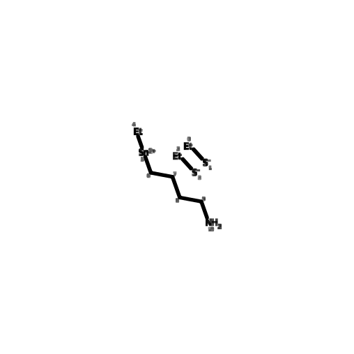 CC[S-].CC[S-].C[CH2][Sn+2][CH2]CCCN